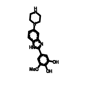 COc1cc(-c2nc3cc(N4CCNCC4)ccc3[nH]2)cc(O)c1O